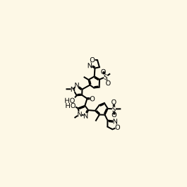 Cc1c(-c2nn(C)c(O)c2C(=O)c2c(-c3ccc(S(C)(=O)=O)c(C4=NOCC4)c3C)nn(C)c2O)ccc(S(C)(=O)=O)c1C1=NOCC1